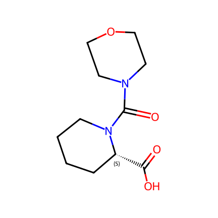 O=C(O)[C@@H]1CCCCN1C(=O)N1CCOCC1